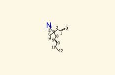 C=CCC(C#N)(CC)CC=CCC